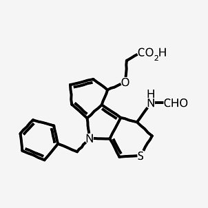 O=CNC1CSC=c2c1c1c(n2Cc2ccccc2)=CC=CC1OCC(=O)O